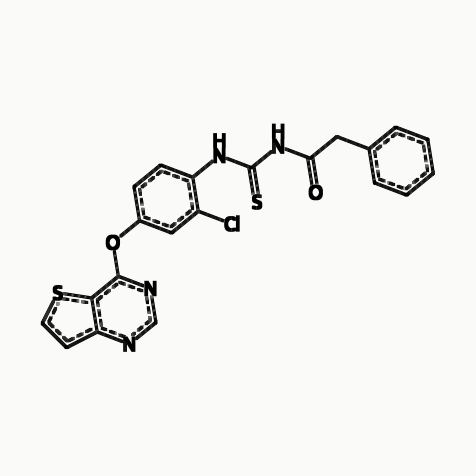 O=C(Cc1ccccc1)NC(=S)Nc1ccc(Oc2ncnc3ccsc23)cc1Cl